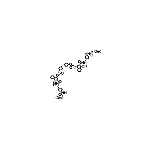 CCCCCCCCCCCC(=O)Nc1ccc(CCNC(=O)c2cc(OCC(=O)Oc3ccc(Cc4ccc(OC(=O)COc5cc(C(=O)NCCc6ccc(NC(=O)CCCCCCCCCCC)cc6)c(O)c6ccccc56)cc4)cc3)c3ccccc3c2O)cc1